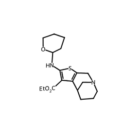 CCOC(=O)c1c(NC2CCCCO2)sc2c1C1CCCN(C2)C1